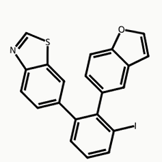 Ic1cccc(-c2ccc3ncsc3c2)c1-c1ccc2occc2c1